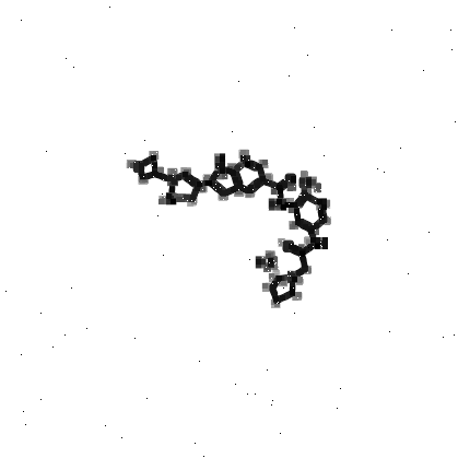 Cc1ncc(NC(=O)CN2CCC[C@@H]2C)cc1NC(=O)c1cnc2[nH]c(-c3cnn(C4COC4)c3)cc2c1